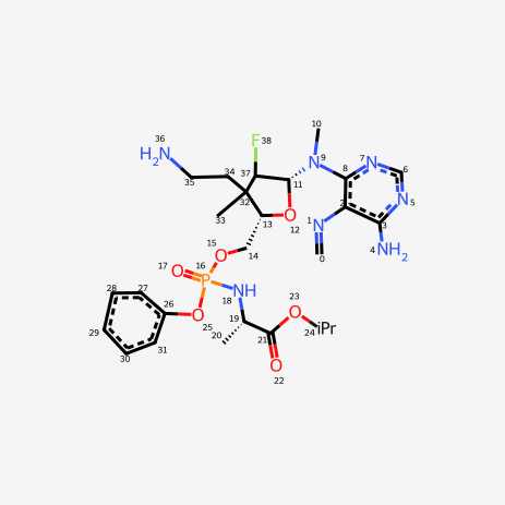 C=Nc1c(N)ncnc1N(C)[C@@H]1O[C@H](COP(=O)(N[C@@H](C)C(=O)OC(C)C)Oc2ccccc2)C(C)(CCN)C1F